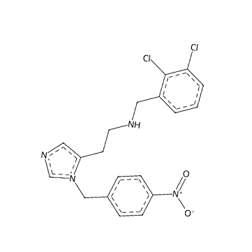 O=[N+]([O-])c1ccc(Cn2cncc2CCNCc2cccc(Cl)c2Cl)cc1